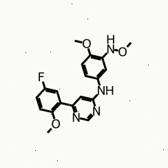 CONc1cc(Nc2cc(-c3cc(F)ccc3OC)ncn2)ccc1OC